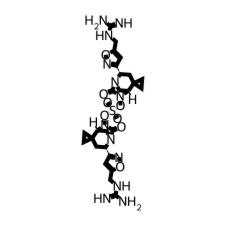 N=C(N)NCc1cc([C@@H]2CC3(CC3)[C@@H]3CN2C(=O)N3OS(=O)(=O)ON2C(=O)N3C[C@H]2C2(CC2)C[C@H]3c2cc(CNC(=N)N)on2)no1